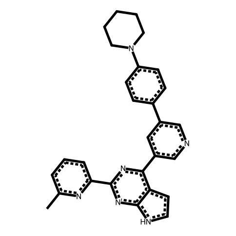 Cc1cccc(-c2nc(-c3cncc(-c4ccc(N5CCCCC5)cc4)c3)c3cc[nH]c3n2)n1